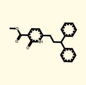 COC(=O)c1ccc(CCC(c2ccccc2)c2ccccc2)[nH]c1=O